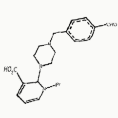 CC(C)N1C=CC=C(C(=O)O)C1N1CCN(Cc2ccc(C=O)cc2)CC1